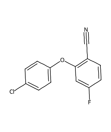 N#Cc1ccc(F)cc1Oc1ccc(Cl)cc1